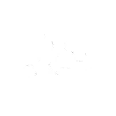 CCc1ccc2c(c1)-c1nc(CN3CCCC3=O)nn1Cc1c(C)ncn1-2